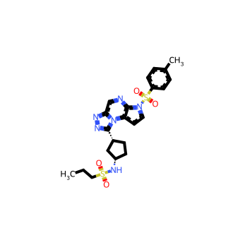 CCCS(=O)(=O)N[C@H]1CC[C@@H](c2nnc3cnc4c(ccn4S(=O)(=O)c4ccc(C)cc4)n23)C1